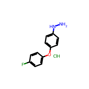 Cl.NNc1ccc(Oc2ccc(F)cc2)cc1